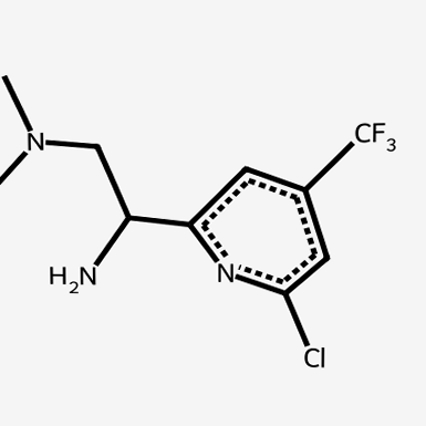 CN(C)CC(N)c1cc(C(F)(F)F)cc(Cl)n1